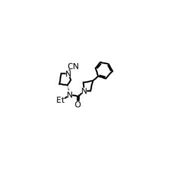 CCN(C(=O)N1CC(c2ccccc2)C1)[C@@H]1CCN(C#N)C1